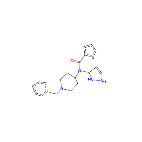 O=C(c1cccs1)N(C1CCN(Cc2ccccc2)CC1)C1C=CNN1